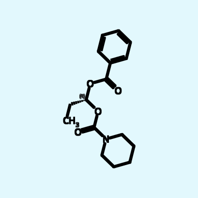 CC[C@H](OC(=O)c1ccccc1)OC(=O)N1CCCCC1